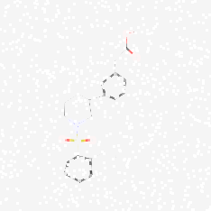 COC(=O)Cc1cccc(C2CCCN(S(=O)(=O)c3ccccc3C)C2)c1